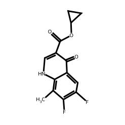 Cc1c(F)c(F)cc2c(=O)c(C(=O)OC3CC3)c[nH]c12